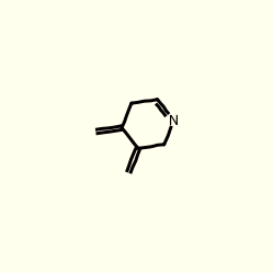 C=C1CC=NCC1=C